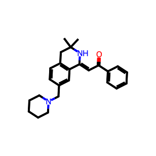 CC1(C)Cc2ccc(CN3CCCCC3)cc2C(=CC(=O)c2ccccc2)N1